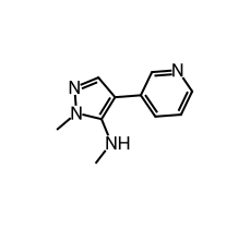 CNc1c(-c2cccnc2)cnn1C